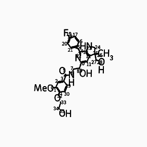 COc1cc(C(=O)NC[C@@H](O)c2cc3c(c(-c4ccc(F)cc4)n2)NC[C@]3(C)CO)ccc1OCCO